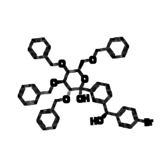 O[C@H](c1ccc(Br)cc1)c1cccc(C2(O)O[C@H](COCc3ccccc3)C(OCc3ccccc3)[C@H](OCc3ccccc3)[C@H]2OCc2ccccc2)c1